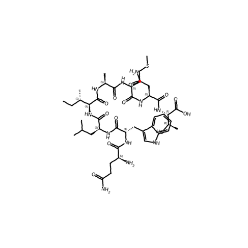 CC[C@H](C)[C@H](NC(=O)[C@H](CC(C)C)NC(=O)[C@H](Cc1c[nH]c2ccccc12)NC(=O)[C@@H](N)CCC(N)=O)C(=O)N[C@@H](C)C(=O)N[C@@H](CCSC)C(=O)N[C@@H](CC(N)=O)C(=O)N[C@H](C(=O)O)[C@@H](C)O